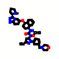 CN1CCC[C@H]1c1nnc2ccc(O[C@@H]3CC[C@H](NC(=O)N(OC=O)c4cc(C(C)(C)C)nn4-c4cccc(CN5CCOCC5)c4)c4ccccc43)cn12